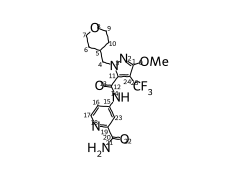 COc1nn(CC2CCOCC2)c(C(=O)Nc2ccnc(C(N)=O)c2)c1C(F)(F)F